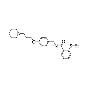 CCSc1ccccc1C(=O)NCc1ccc(OCCCN2CCCCC2)cc1